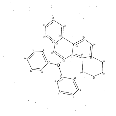 c1ccc(Oc2ccccc2)cc1.c1ccc2c(c1)ccc1c3c(ccc12)CCCC3